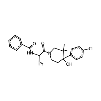 CC(C)C(NC(=O)c1ccccc1)C(=O)N1CCC(O)(c2ccc(Cl)cc2)C(C)(C)C1